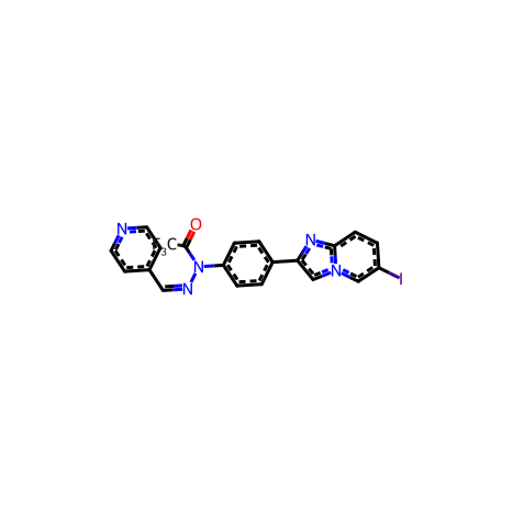 O=C(N(/N=C\c1ccncc1)c1ccc(-c2cn3cc(I)ccc3n2)cc1)C(F)(F)F